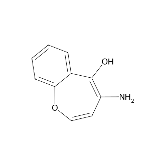 NC1=C(O)c2ccccc2OC=C1